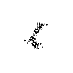 CNC(=O)Nc1ccc(OC[C@@H]2CN(c3ccc(C#N)c(C(F)(F)F)c3)[C@@H](C)O2)cc1